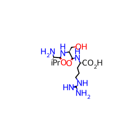 CC(C)[C@H](N)C(=O)N[C@@H](CO)C(=O)N[C@@H](CCCNC(=N)N)C(=O)O